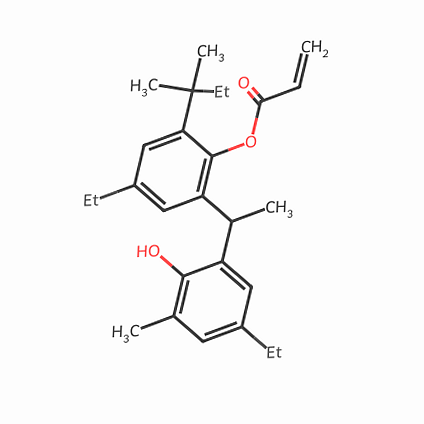 C=CC(=O)Oc1c(C(C)c2cc(CC)cc(C)c2O)cc(CC)cc1C(C)(C)CC